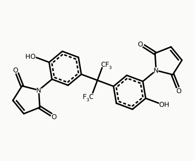 O=C1C=CC(=O)N1c1cc(C(c2ccc(O)c(N3C(=O)C=CC3=O)c2)(C(F)(F)F)C(F)(F)F)ccc1O